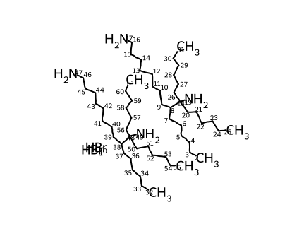 Br.Br.CCCCCCC(CCCCCCCCN)C(N)(CCCCCC)CCCCCC.CCCCCCC(CCCCCCCCN)C(N)(CCCCCC)CCCCCC